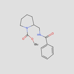 CC(C)(C)OC(=O)N1CCCCC1CNC(=O)c1ccccc1